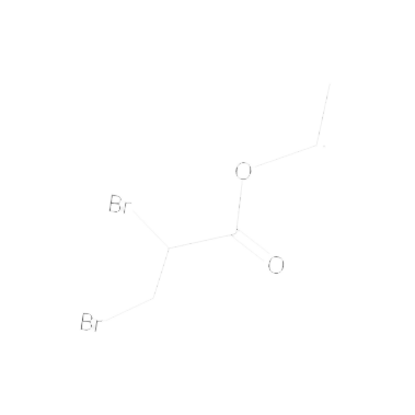 C[CH]OC(=O)C(Br)CBr